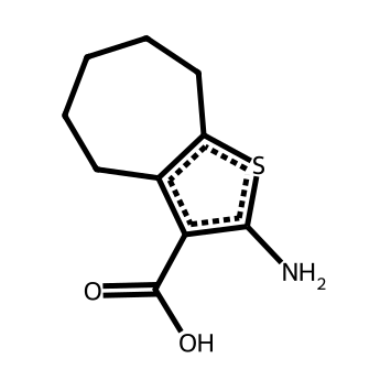 Nc1sc2c(c1C(=O)O)CCCCC2